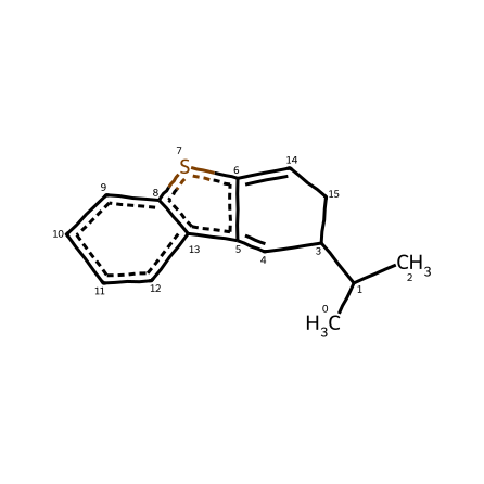 CC(C)C1C=c2c(sc3ccccc23)=CC1